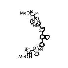 COC(=O)N[C@H](C(=O)N1CCC[C@H]1c1ncc(-c2ccc(-c3ccc(-c4ccc5nc([C@@H]6CCCN6C(=O)[C@@H](NC(=O)OC)C(C)C)[nH]c5c4)c4c3C3CCC4C3)s2)[nH]1)C(C)C